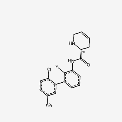 CCCc1ccc(Cl)c(-c2cccc(NC(=O)[C@@H]3CC=CCN3)c2F)c1